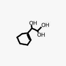 OC(O)C(O)C1=CCCCC1